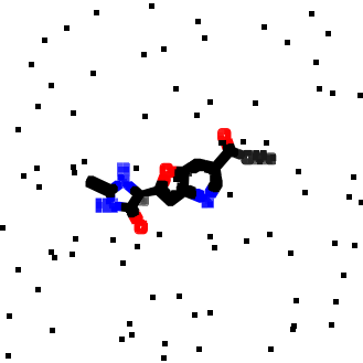 C=C1NC(=O)[C@H](c2cc3ncc(C(=O)OC)cc3o2)N1